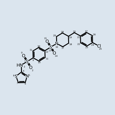 O=S(=O)(Nc1nccs1)c1ccc(S(=O)(=O)N2CCC(Cc3ccc(Cl)cc3)CC2)cc1